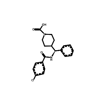 O=C(N[C@H](c1ccccc1)C1CCN(C(=O)O)CC1)c1ccc(Cl)cc1